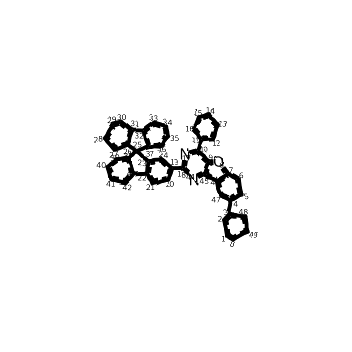 c1ccc(-c2ccc3oc4c(-c5ccccc5)nc(-c5ccc6c(c5)C5(c7ccccc7-c7ccccc75)c5ccccc5-6)nc4c3c2)cc1